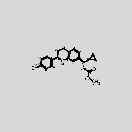 COC(=O)C[C@H](c1ccc2c(c1)OC(c1ccc(Br)cc1)CC2)C1CC1